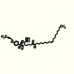 CC#CCOc1ccc(S(=O)(=O)N[C@H](CCCNC(=O)CCCCCCC/C=C\CCCCCCCC)C(=O)NO)cc1